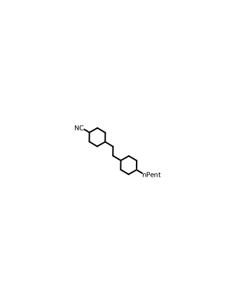 CCCCCC1CCC(CCC2CCC(C#N)CC2)CC1